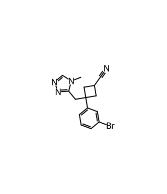 Cn1cnnc1CC1(c2cccc(Br)c2)CC(C#N)C1